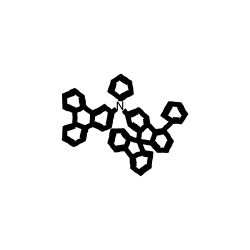 c1ccc(-c2cccc3c2-c2ccc(N(c4ccccc4)c4ccc5c6ccccc6c6ccccc6c5c4)cc2C32c3ccccc3-c3ccccc32)cc1